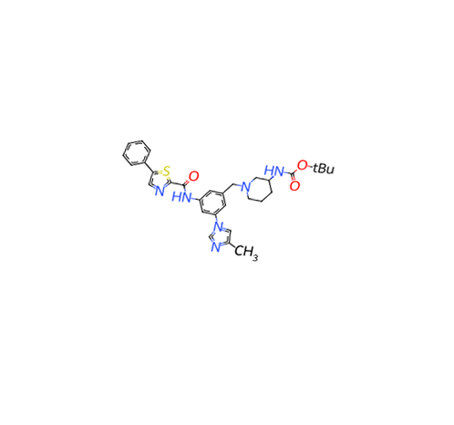 Cc1cn(-c2cc(CN3CCC[C@H](NC(=O)OC(C)(C)C)C3)cc(NC(=O)c3ncc(-c4ccccc4)s3)c2)cn1